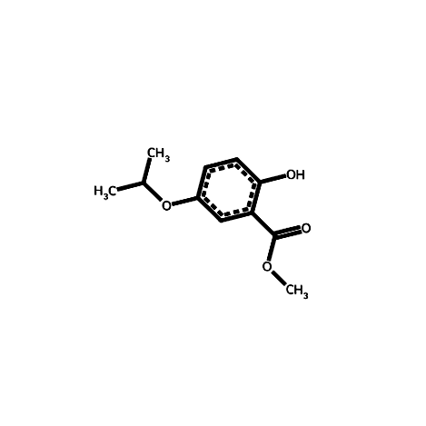 COC(=O)c1cc(OC(C)C)ccc1O